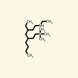 CCCCC(CCS(C)(C)C)CC(CC)CCNCC